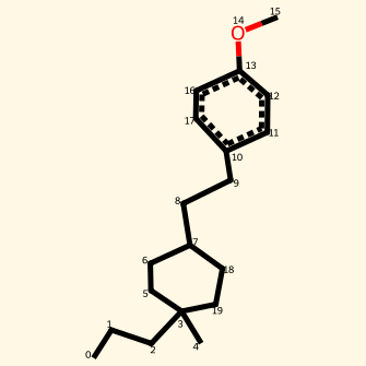 CCCC1(C)CCC(CCc2ccc(OC)cc2)CC1